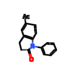 CC(=O)c1ccc2c(c1)CCC(=O)N2c1ccccc1